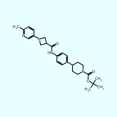 Cc1ccc(N2CC(C(=O)Nc3ccc(C4CCN(C(=O)OC(C)(C)C)CC4)cc3)C2)cn1